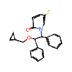 O=c1ccc(F)cn1C(c1ccccc1)C(OCC1CC1)c1ccccc1